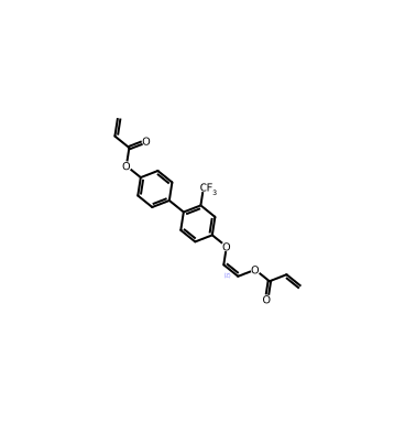 C=CC(=O)O/C=C\Oc1ccc(-c2ccc(OC(=O)C=C)cc2)c(C(F)(F)F)c1